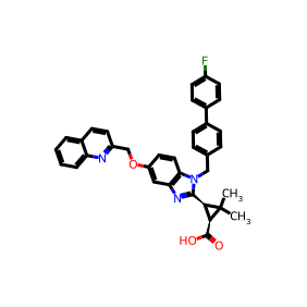 CC1(C)[C@H](c2nc3cc(OCc4ccc5ccccc5n4)ccc3n2Cc2ccc(-c3ccc(F)cc3)cc2)[C@@H]1C(=O)O